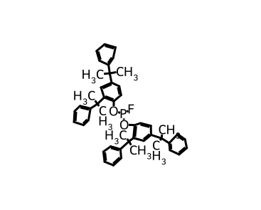 CC(C)(c1ccccc1)c1ccc(OP(F)Oc2ccc(C(C)(C)c3ccccc3)cc2C(C)(C)c2ccccc2)c(C(C)(C)c2ccccc2)c1